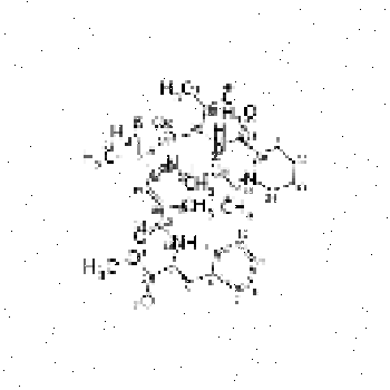 COC(=O)[C@H](Cc1ccccc1)NC(=O)/C(C)=C/[C@H](C(C)C)N(C)C(=O)[C@@H](NC(=O)[C@H]1CCCCN1C(C)C)C(C)C